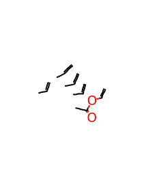 C=CC.C=CC.C=CC.C=CC.C=COC(C)=O